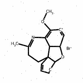 COC1=C2N=C(C)CCC34C=CCCC3OC(C=[C+]1)C24.[Br-]